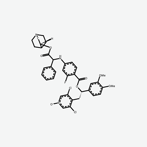 COc1ccc([C@H](Cc2c(Cl)c[n+]([O-])cc2Cl)OC(=O)c2ccc(NC(C(=O)O[C@H]3CN4CCC3CC4)c3ccccc3)cc2F)cc1OC